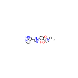 CN1CCC(O)(c2cccc(-n3ncc(-c4c[nH]c5ncccc45)n3)c2)C1=O